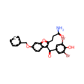 NC(=O)CCc1oc2cc(OCc3ccccc3)ccc2c1C(=O)c1cc(Br)c(O)c(Br)c1